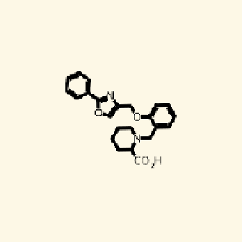 O=C(O)C1CCCCN1Cc1ccccc1OCc1coc(-c2ccccc2)n1